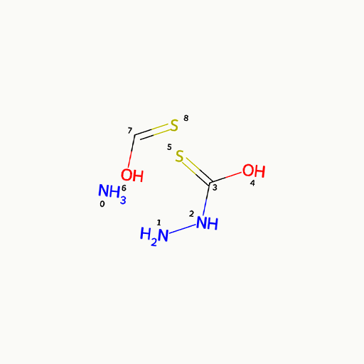 N.NNC(O)=S.OC=S